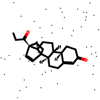 CCC(=O)[C@]12C=CC3(CC1)[C@@H]1CCC4=CC(=O)CC[C@@H]4[C@H]1CC[C@@]32C